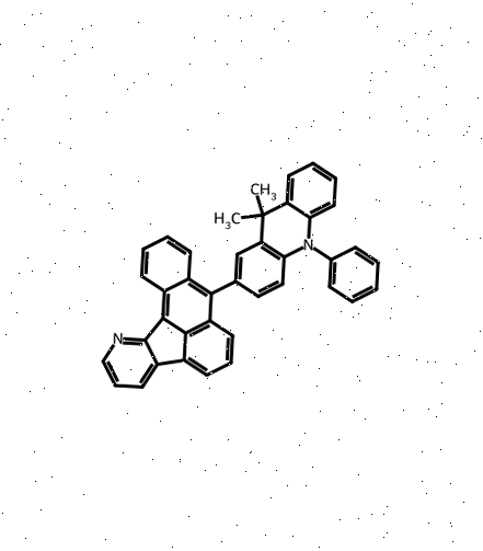 CC1(C)c2ccccc2N(c2ccccc2)c2ccc(-c3c4ccccc4c4c5c(cccc35)-c3cccnc3-4)cc21